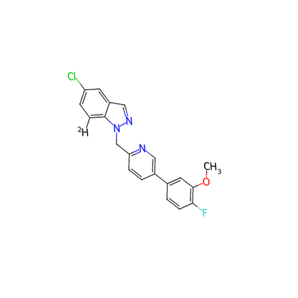 [2H]c1cc(Cl)cc2cnn(Cc3ccc(-c4ccc(F)c(OC)c4)cn3)c12